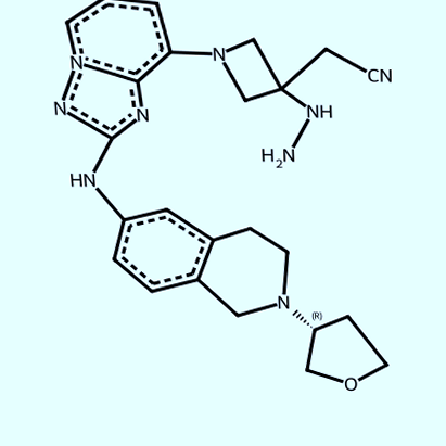 N#CCC1(NN)CN(c2cccn3nc(Nc4ccc5c(c4)CCN([C@@H]4CCOC4)C5)nc23)C1